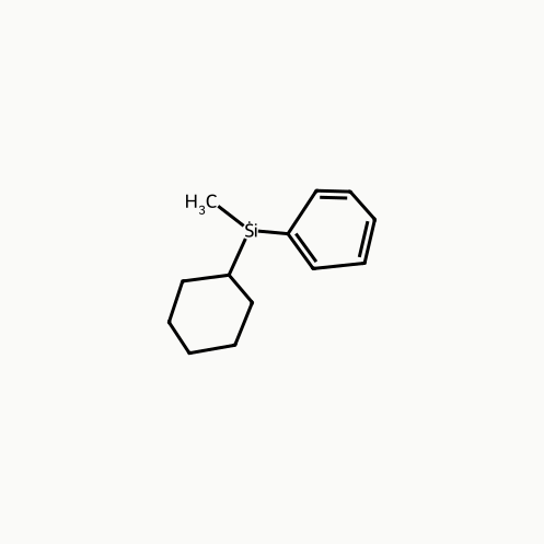 C[Si](c1ccccc1)C1CCCCC1